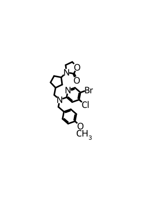 COc1ccc(CN(CC2CCC(N3CCOC3=O)C2)c2cc(Cl)c(Br)cn2)cc1